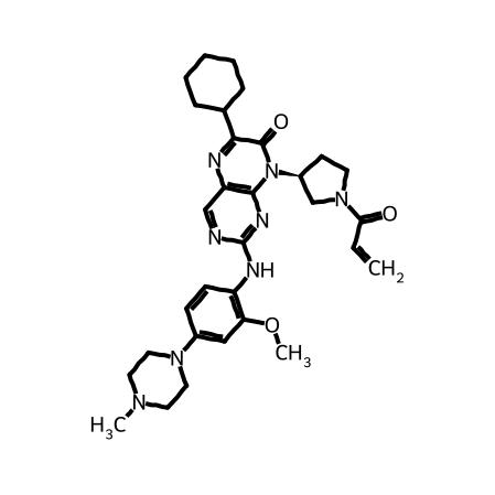 C=CC(=O)N1CC[C@H](n2c(=O)c(C3CCCCC3)nc3cnc(Nc4ccc(N5CCN(C)CC5)cc4OC)nc32)C1